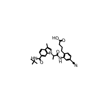 Cc1cn(C(C)C(=O)Nc2cc(C#N)ccc2CCCC(=O)O)c2cc(C(=O)NC(C)(C)C)ccc12